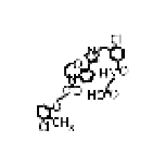 Cc1c(Cl)cccc1OCCOC(=O)N1CCCOc2c(-c3cnn(Cc4cc(C(=O)NCCC(=O)O)ccc4Cl)c3)cccc21